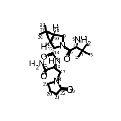 CC(C)(C)[C@H](N)C(=O)N1C[C@H]2[C@@H]([C@H]1C(=O)NC(CN1CCCC1=O)C(N)=O)C2(C)C